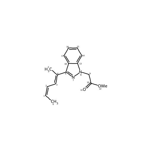 C/C=C\C=C(/C)c1nn(CC(=O)OC)c2ccccc12